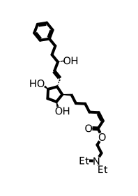 CCN(CC)CCOC(=O)/C=C\CCCC[C@@H]1[C@@H](/C=C/[C@@H](O)CCc2ccccc2)[C@H](O)C[C@@H]1O